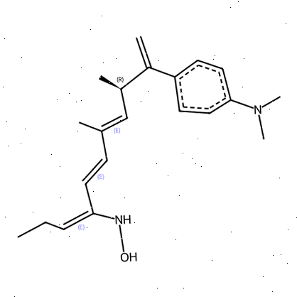 C=C(c1ccc(N(C)C)cc1)[C@H](C)/C=C(C)/C=C/C(=C\CC)NO